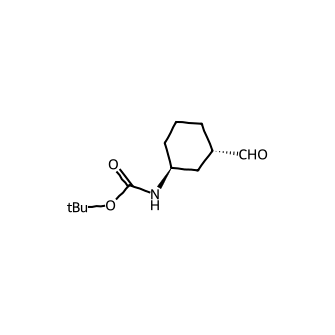 CC(C)(C)OC(=O)N[C@H]1CCC[C@H](C=O)C1